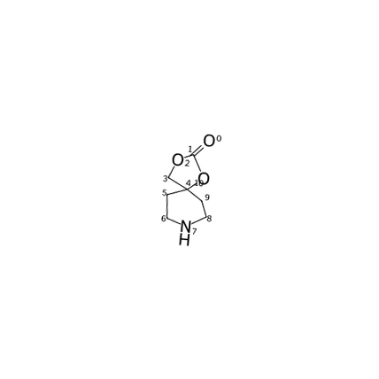 O=C1OCC2(CCNCC2)O1